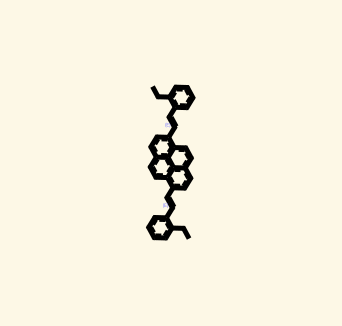 CCc1ccccc1/C=C/c1ccc2ccc3c(/C=C/c4ccccc4CC)ccc4ccc1c2c43